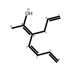 C=C/C=C\C(CC=C)=C(/C)O